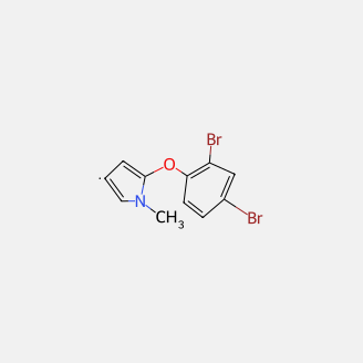 Cn1c[c]cc1Oc1ccc(Br)cc1Br